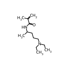 C=C(C)C(=O)NC(C)CCCN(CC)CC